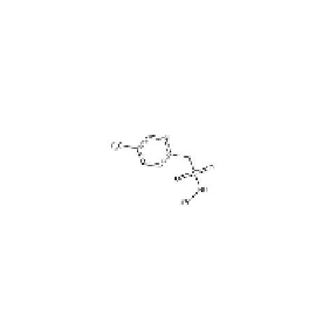 CC(C)NS(=O)(=O)Cc1ccc(C(F)(F)F)cn1